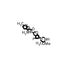 CO[C@@]1(C)CNCCN(c2cc(F)c3c(c2)OC[C@H](NC(=O)c2sc4nc(C)ccc4c2N)C3)C1